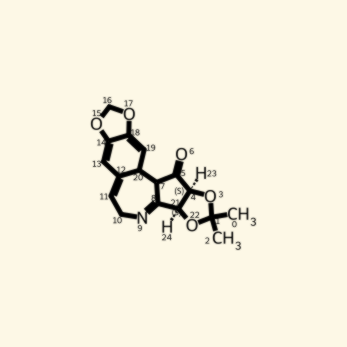 CC1(C)O[C@@H]2C(=O)C3C(=NCC=C4C=C5OCOC5=CC43)[C@@H]2O1